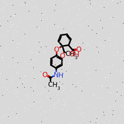 CC(=O)Nc1ccc(OC2(C(C)=O)C=CC=CC2C(=O)O)cc1